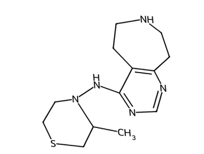 CC1CSCCN1Nc1ncnc2c1CCNCC2